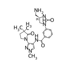 Cn1cc(NC(=O)c2cccc(N3C[C@@H](CN)NC3=O)c2)c(N2CCC(C)(C)C2=O)n1